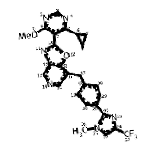 COc1ncnc(C2CC2)c1-c1nc2cncc(Cc3ccc(-c4nc(C(F)(F)F)cn4C)cc3)c2o1